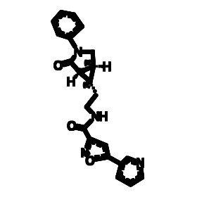 O=C(NCC[C@H]1[C@@H]2CN(c3ccccc3)C(=O)[C@H]12)c1cc(-c2cccnc2)on1